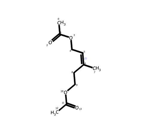 CC(=O)OC/C=C(/C)CCOC(C)=O